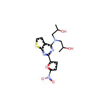 CC(O)CN(CC(C)O)c1nc(-c2ccc([N+](=O)[O-])o2)nc2sccc12